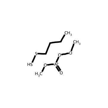 CCCCSS.CO[O][Al-](=[O])[O]C